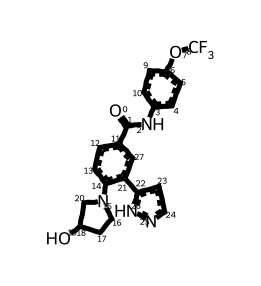 O=C(Nc1ccc(OC(F)(F)F)cc1)c1ccc(N2CCC(O)C2)c(-c2ccn[nH]2)c1